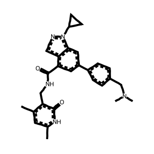 Cc1cc(C)c(CNC(=O)c2cc(-c3ccc(CN(C)C)cc3)cc3c2cnn3C2CC2)c(=O)[nH]1